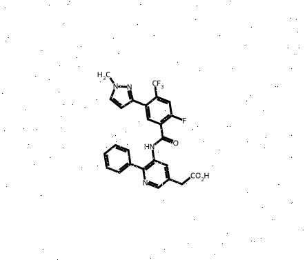 Cn1ccc(-c2cc(C(=O)Nc3cc(CC(=O)O)cnc3-c3ccccc3)c(F)cc2C(F)(F)F)n1